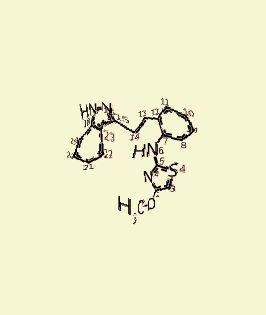 COc1csc(Nc2ccccc2C=Cc2n[nH]c3ccccc23)n1